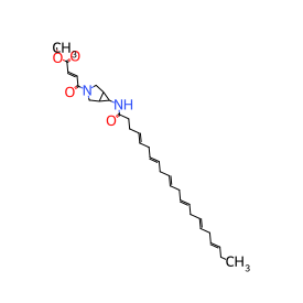 CCC=CCC=CCC=CCC=CCC=CCC=CCCC(=O)NC1C2CN(C(=O)C=CC(=O)OC)CC21